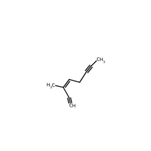 C#CC(C)=CCC#CC